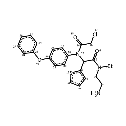 CCN(CCN)C(=O)C(c1cccs1)N(C(=O)CCl)c1ccc(Oc2ccccc2)cc1